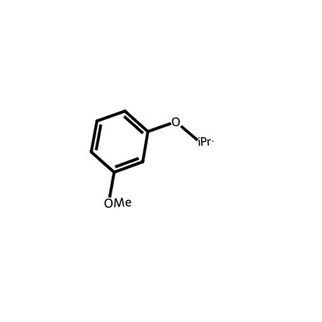 COc1cccc(O[C](C)C)c1